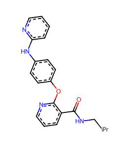 CC(C)CNC(=O)c1cccnc1Oc1ccc(Nc2ccccn2)cc1